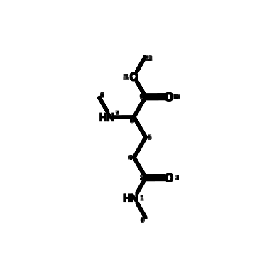 CNC(=O)CCC(NC)C(=O)OC